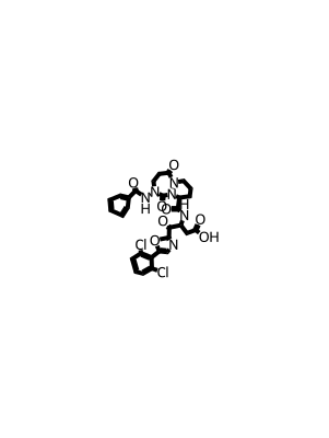 O=C(O)CC(NC(=O)C1CCCN2C(=O)CCN(NC(=O)c3ccccc3)C(=O)N12)C(=O)c1ncc(-c2c(Cl)cccc2Cl)o1